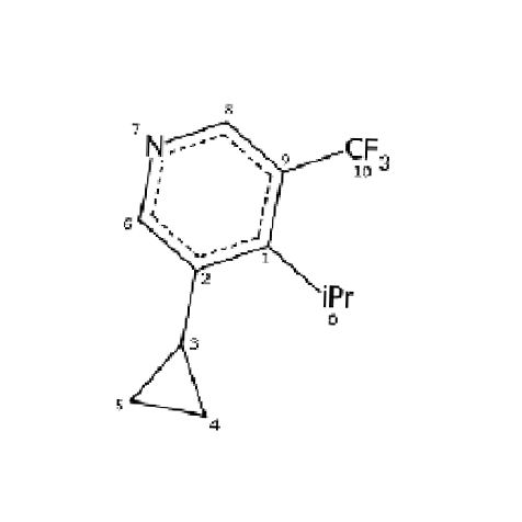 CC(C)c1c(C2CC2)cncc1C(F)(F)F